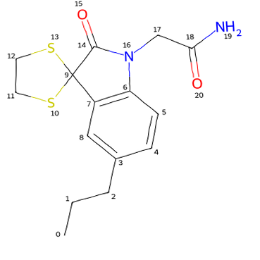 CCCc1ccc2c(c1)C1(SCCS1)C(=O)N2CC(N)=O